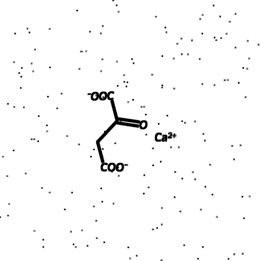 O=C([O-])CC(=O)C(=O)[O-].[Ca+2]